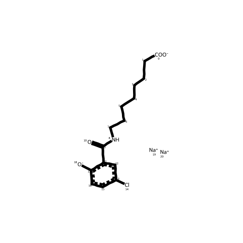 O=C([O-])CCCCCCCNC(=O)c1cc(Cl)ccc1[O-].[Na+].[Na+]